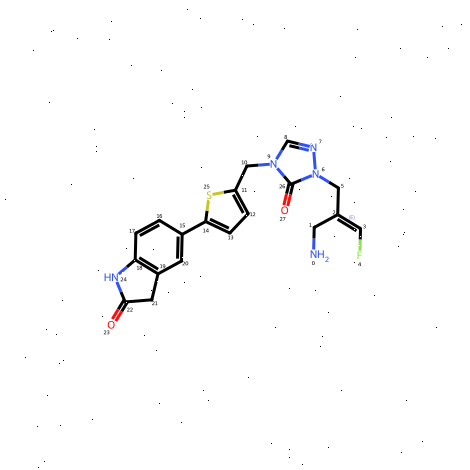 NC/C(=C\F)Cn1ncn(Cc2ccc(-c3ccc4c(c3)CC(=O)N4)s2)c1=O